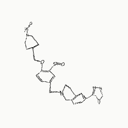 O=[S+]c1cc(CN2Cc3ccc(-c4nnco4)cc3C2)ccc1OCC1CCN([SH]=O)CC1